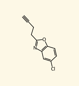 C#CCCc1nc2cc(Cl)ccc2o1